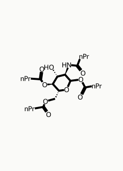 CCCC(=O)N[C@H]1C(OC(=O)CCC)O[C@H](COC(=O)CCC)[C@@H](OC(=O)CCC)[C@@H]1O